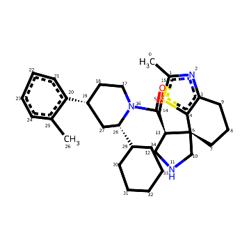 Cc1nc2c(s1)[C@]1(CCC2)CNC[C@H]1C(=O)N1CC[C@@H](c2ccccc2C)C[C@H]1C1CCCCC1